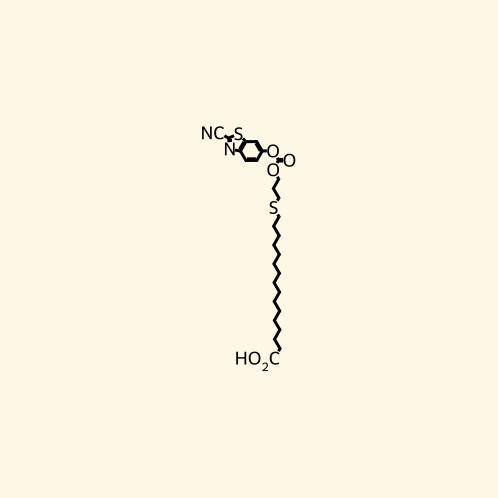 N#Cc1nc2ccc(OC(=O)OCCCSCCCCCCCCCCCCCCCC(=O)O)cc2s1